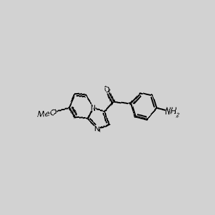 COc1ccn2c(C(=O)c3ccc(N)cc3)cnc2c1